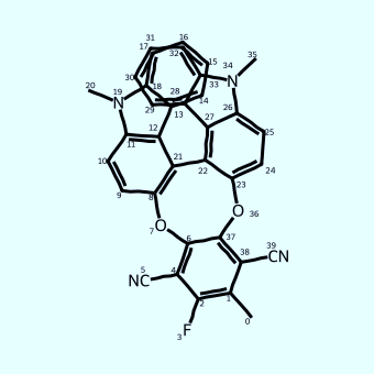 Cc1c(F)c(C#N)c2oc3ccc4c(c5ccccc5n4C)c3c3c(ccc4c3c3ccccc3n4C)oc2c1C#N